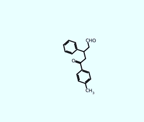 Cc1ccc(C(=O)CC(CC=O)c2ccccc2)cc1